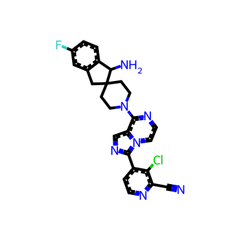 N#Cc1nccc(-c2ncc3c(N4CCC5(CC4)Cc4cc(F)ccc4C5N)nccn23)c1Cl